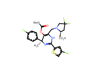 COC(=O)OC1=C(CN2CC(F)(F)C[C@H]2C(=O)O)NC(c2cc(F)cs2)=N[C@@]1(C)c1ccc(F)cc1